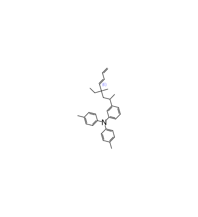 C=C/C=C/C(C)(CC)CC(C)c1cccc(N(c2ccc(C)cc2)c2ccc(C)cc2)c1